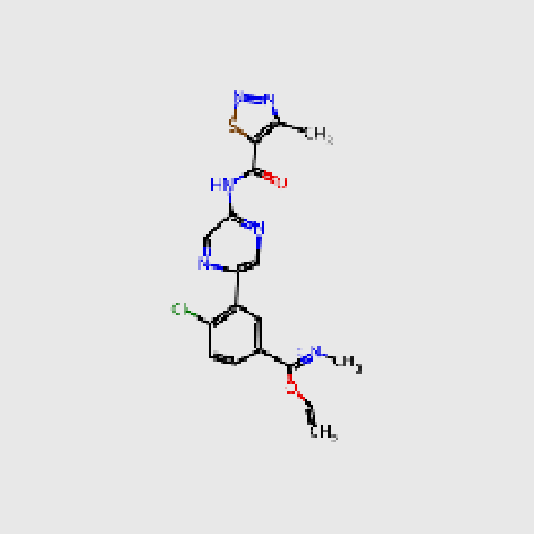 C=CO/C(=N\C)c1ccc(Cl)c(-c2cnc(NC(=O)c3snnc3C)cn2)c1